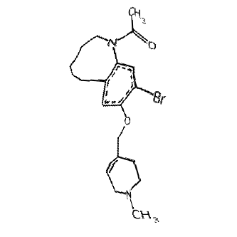 CC(=O)N1CCCCc2cc(OCC3=CCN(C)CC3)c(Br)cc21